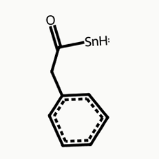 O=[C]([SnH])Cc1ccccc1